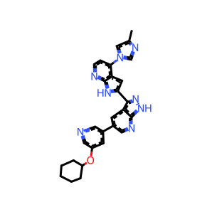 Cc1cn(-c2ccnc3[nH]c(-c4n[nH]c5ncc(-c6cncc(OC7CCCCC7)c6)cc45)cc23)cn1